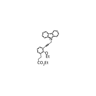 CCOC(=O)CCc1cccc(C#CCn2c3ccccc3c3ccccc32)c1OCC